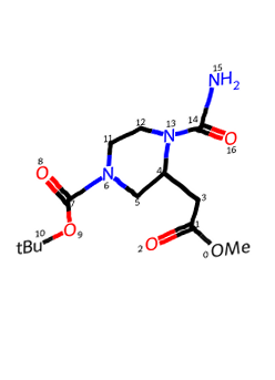 COC(=O)CC1CN(C(=O)OC(C)(C)C)CCN1C(N)=O